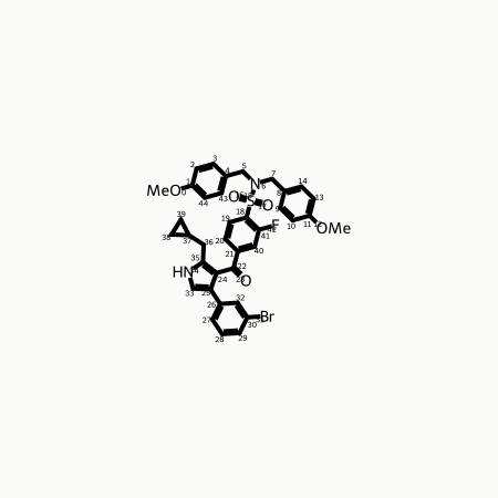 COc1ccc(CN(Cc2ccc(OC)cc2)S(=O)(=O)c2ccc(C(=O)c3c(-c4cccc(Br)c4)c[nH]c3CC3CC3)cc2F)cc1